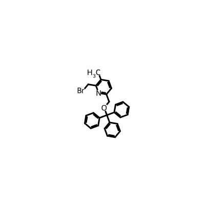 Cc1ccc(COC(c2ccccc2)(c2ccccc2)c2ccccc2)nc1CBr